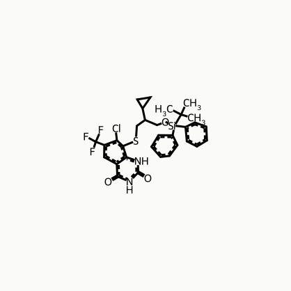 CC(C)(C)[Si](OCC(CSc1c(Cl)c(C(F)(F)F)cc2c(=O)[nH]c(=O)[nH]c12)C1CC1)(c1ccccc1)c1ccccc1